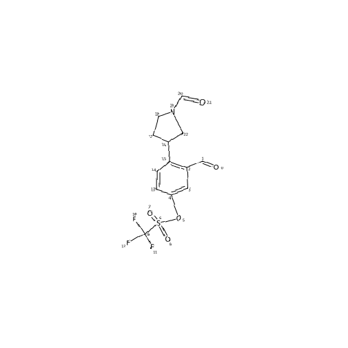 O=Cc1cc(OS(=O)(=O)C(F)(F)F)ccc1C1CCN(C=O)C1